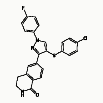 O=C1NCCc2cc(-c3nn(-c4ccc(F)cc4)cc3Sc3ccc(Cl)cc3)ccc21